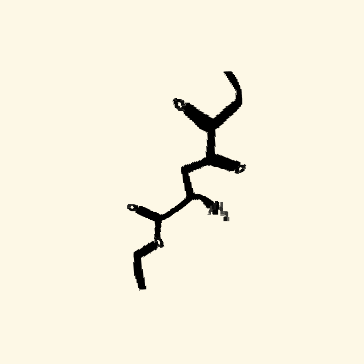 CCOC(=O)C(N)CC(=O)C(=O)CC